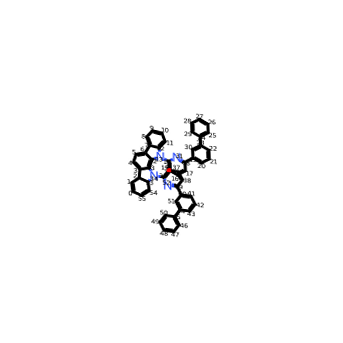 C1=CC2c3ccc4c5ccccc5n(-c5cccc(-c6cccc(-c7ccccc7)c6)n5)c4c3N(c3cccc(-c4cccc(-c5ccccc5)c4)n3)C2C=C1